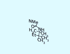 CCC(C)(C)C(C)(C)NC(=O)NC